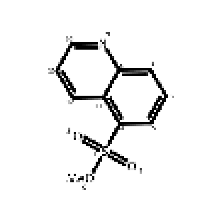 COS(=O)(=O)c1cccc2ncccc12